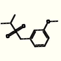 COc1cccc(CS(=O)(=O)C(C)C)c1